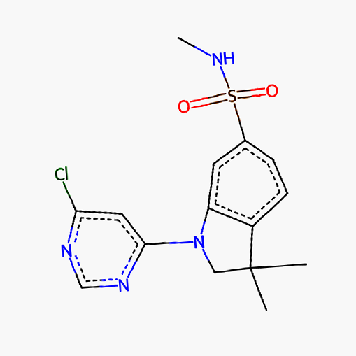 CNS(=O)(=O)c1ccc2c(c1)N(c1cc(Cl)ncn1)CC2(C)C